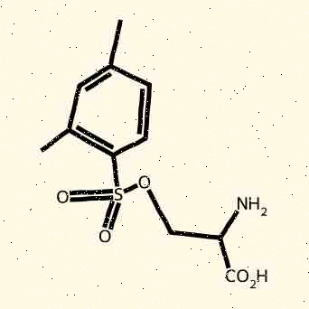 Cc1ccc(S(=O)(=O)OCC(N)C(=O)O)c(C)c1